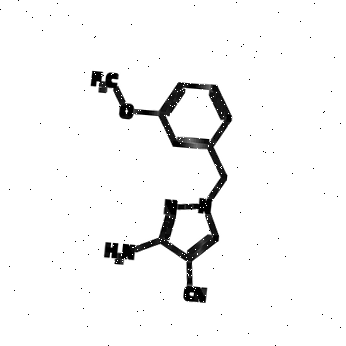 N#Cc1cn(Cc2cccc(OC(F)(F)F)c2)nc1N